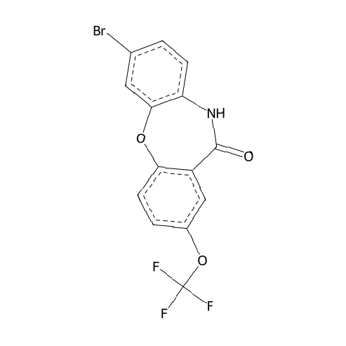 O=C1Nc2ccc(Br)cc2Oc2ccc(OC(F)(F)F)cc21